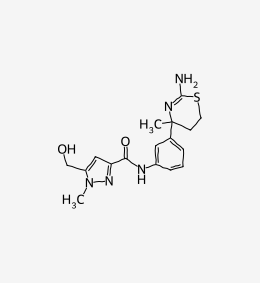 Cn1nc(C(=O)Nc2cccc(C3(C)CCSC(N)=N3)c2)cc1CO